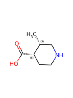 C[C@@H]1CNCC[C@@H]1C(=O)O